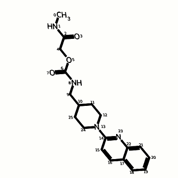 CNC(=O)COC(=O)NCC1CCN(c2ccc3ccccc3n2)CC1